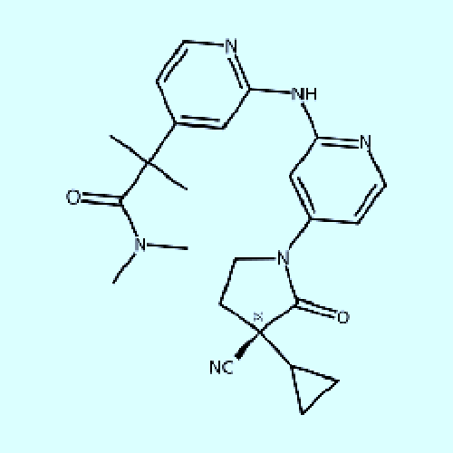 CN(C)C(=O)C(C)(C)c1ccnc(Nc2cc(N3CC[C@@](C#N)(C4CC4)C3=O)ccn2)c1